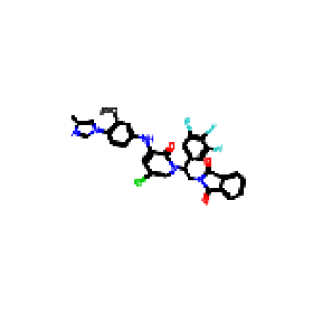 COc1cc(Nc2cc(Cl)cn(C(CN3C(=O)c4ccccc4C3=O)c3cc(F)c(F)c(F)c3)c2=O)ccc1-n1cnc(C)c1